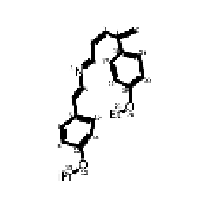 C=C(\C=C/C=N/C=C/c1ccc(OC(C)C)cc1)c1ccc(OCC)cc1